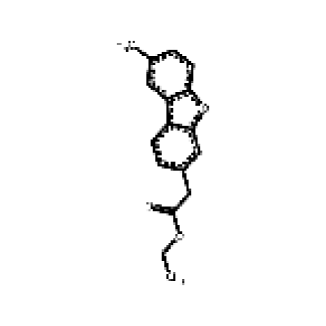 CCOC(=O)Cc1ccc2c(c1)oc1ccc(C)cc12